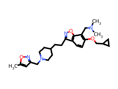 Cc1cc(CN2CCC(CCc3noc4c(CN(C)C)c(OCC5CC5)ccc34)CC2)no1